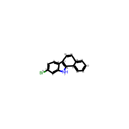 Brc1ccc2c(c1)[nH]c1c3ccccc3ccc21